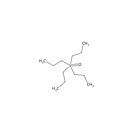 CC[CH2][V](=[O])([CH2]CC)([CH2]CC)[CH2]CC